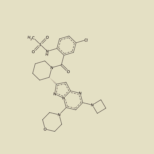 CS(=O)(=O)Nc1ccc(Cl)cc1C(=O)N1CCCC[C@H]1c1cc2nc(N3CCC3)cc(N3CCOCC3)n2n1